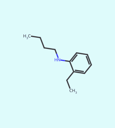 CCCCNc1ccccc1CC